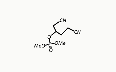 COP(=O)(OC)OC(CC#N)CCC#N